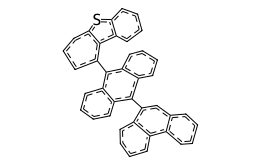 c1ccc2c(c1)cc(-c1c3ccccc3c(-c3cccc4sc5ccccc5c34)c3ccccc13)c1ccccc12